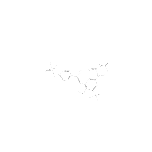 COc1c(/C=C(\Cl)c2ccc(NS(C)(=O)=O)cc2)cc(N2CCC(=O)NC2=O)cc1C(C)(C)C